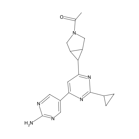 CC(=O)N1CC2C(C1)C2c1cc(-c2cnc(N)nc2)nc(C2CC2)n1